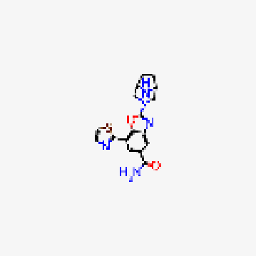 NC(=O)c1cc(-c2nccs2)c2oc(N3CC4CCC(C3)N4)nc2c1